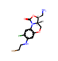 NC[C@@H]1OC(=O)N2c3cc(F)c(NCCS)cc3OC[C@@H]12